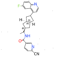 CC(NC(=O)c1ccc(C#N)nc1)[C@H]1C[C@H]2CC(c3ccnc4ccc(F)cc34)C[C@H]2C1